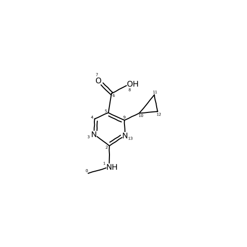 CNc1ncc(C(=O)O)c(C2CC2)n1